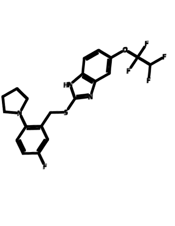 Fc1ccc(N2CCCC2)c(CSc2nc3cc(OC(F)(F)C(F)F)ccc3[nH]2)c1